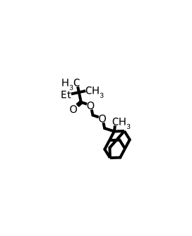 CCC(C)(C)C(=O)OCOCC1(C)C2CC3CC(C2)CC1C3